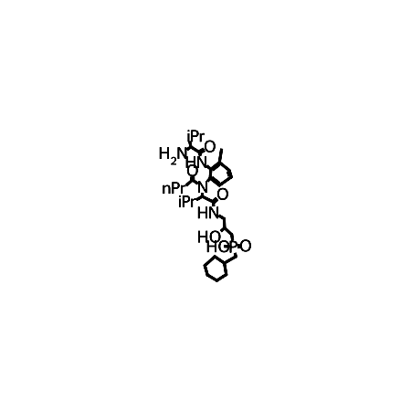 CCCC(=O)N(c1cccc(C)c1NC(=O)C(N)C(C)C)C(C(=O)NCC(O)CP(=O)(O)CC1CCCCC1)C(C)C